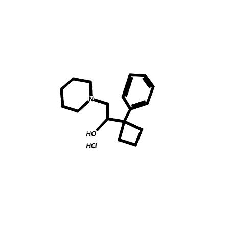 Cl.OC(CN1CCCCC1)C1(c2ccccc2)CCC1